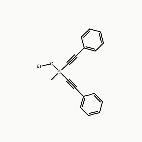 CCO[Si](C)(C#Cc1ccccc1)C#Cc1ccccc1